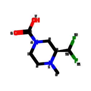 CN1CCN(C(=O)O)C[C@@H]1C(F)F